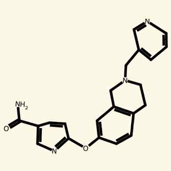 NC(=O)c1ccc(Oc2ccc3c(c2)CN(Cc2cccnc2)CC3)nc1